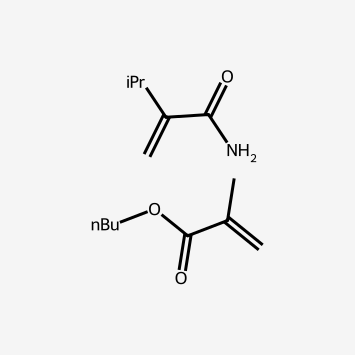 C=C(C(N)=O)C(C)C.C=C(C)C(=O)OCCCC